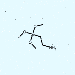 CO[Si](CCN)(OC)OC